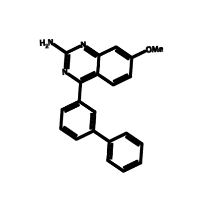 COc1ccc2c(-c3cccc(-c4ccccc4)c3)nc(N)nc2c1